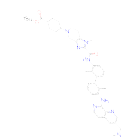 Cc1c(NC(=O)c2nc3c(n2C)CCN(C2CCC(C(=O)OC(C)(C)C)CC2)C3)cccc1-c1cccc(Nc2nccc3cc(CN4CCC(O)C4)cnc23)c1C